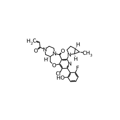 C=CC(=O)N1CCN2C(=O)c3c(N4CC[C@H]5[C@@H](C)[C@H]54)nc(-c4c(O)cccc4F)c(Cl)c3OC[C@H]2C1